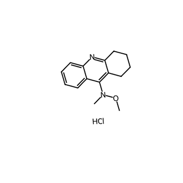 CON(C)c1c2c(nc3ccccc13)CCCC2.Cl